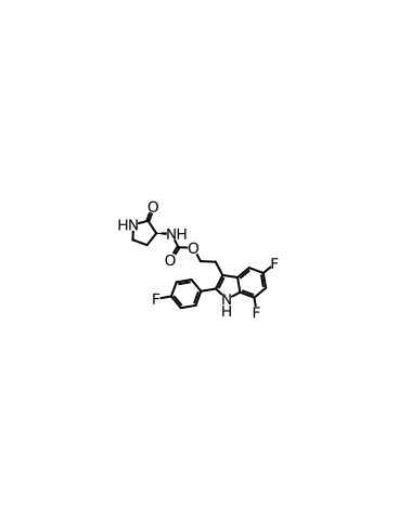 O=C(N[C@H]1CCNC1=O)OCCc1c(-c2ccc(F)cc2)[nH]c2c(F)cc(F)cc12